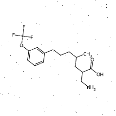 CC(CCCc1cccc(OC(F)(F)F)c1)CC(CN)C(=O)O